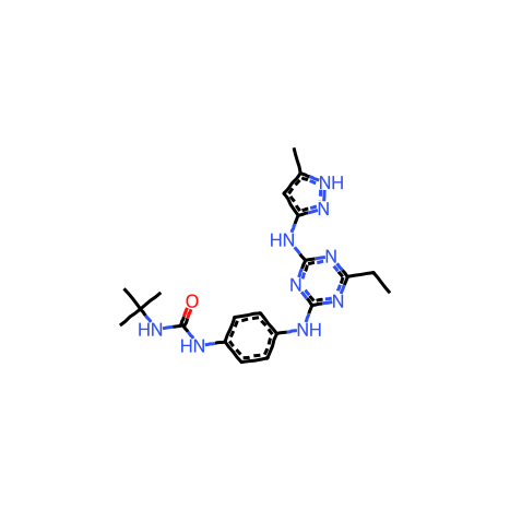 CCc1nc(Nc2ccc(NC(=O)NC(C)(C)C)cc2)nc(Nc2cc(C)[nH]n2)n1